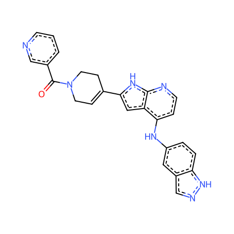 O=C(c1cccnc1)N1CC=C(c2cc3c(Nc4ccc5[nH]ncc5c4)ccnc3[nH]2)CC1